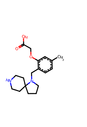 Cc1ccc(CN2CCCC23CCNCC3)c(OCC(=O)O)c1